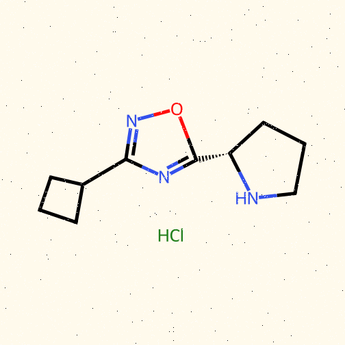 C1CC(c2noc([C@@H]3CCCN3)n2)C1.Cl